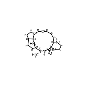 C[C@H]1NC(=O)C2NCCNC2CCCCCN2CCC3CCC1NC32